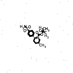 C[C@H]1CC[C@H](c2ccc(S(N)(=O)=O)cc2)N(C(=O)OC(C)(C)C)C1